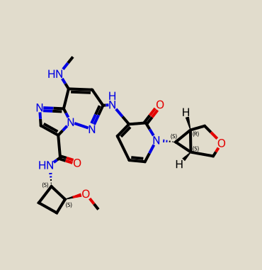 CNc1cc(Nc2cccn([C@@H]3[C@@H]4COC[C@@H]43)c2=O)nn2c(C(=O)N[C@H]3CC[C@@H]3OC)cnc12